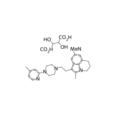 CNc1cc2c3c(c1)c(CCN1CCN(c4cc(C)ccn4)CC1)c(C)n3CCC2.O=C(O)C(O)C(O)C(=O)O